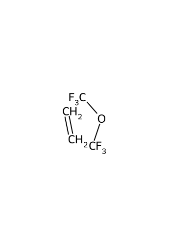 C=C.FC(F)(F)OC(F)(F)F